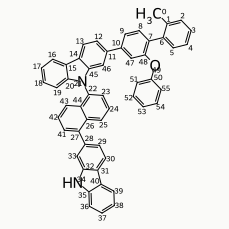 Cc1ccccc1-c1ccc(-c2ccc3c4ccccc4n(-c4cccc5c(-c6ccc7c(c6)[nH]c6ccccc67)cccc45)c3c2)cc1Oc1ccccc1